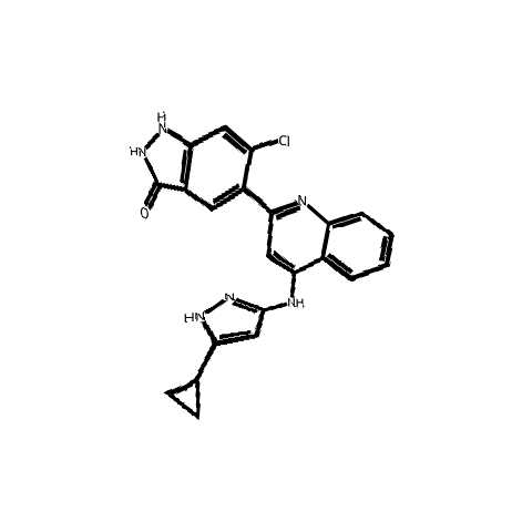 O=c1[nH][nH]c2cc(Cl)c(-c3cc(Nc4cc(C5CC5)[nH]n4)c4ccccc4n3)cc12